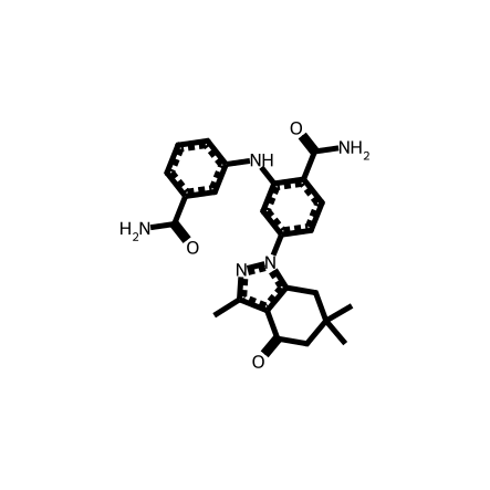 Cc1nn(-c2ccc(C(N)=O)c(Nc3cccc(C(N)=O)c3)c2)c2c1C(=O)CC(C)(C)C2